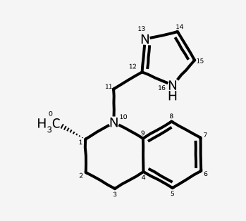 C[C@H]1CCc2ccccc2N1Cc1ncc[nH]1